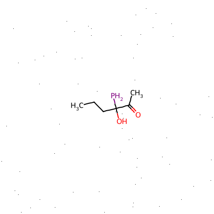 CCCC(O)(P)C(C)=O